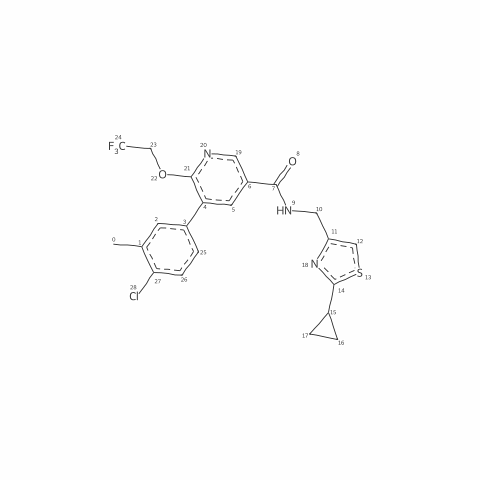 Cc1cc(-c2cc(C(=O)NCc3csc(C4CC4)n3)cnc2OCC(F)(F)F)ccc1Cl